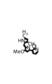 COC1=CC(c2cccnc2Cl)=NC1=Cc1[nH]c(C)cc1C